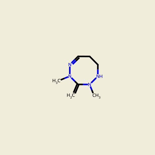 C=C1N(C)/N=C\CCNN1C